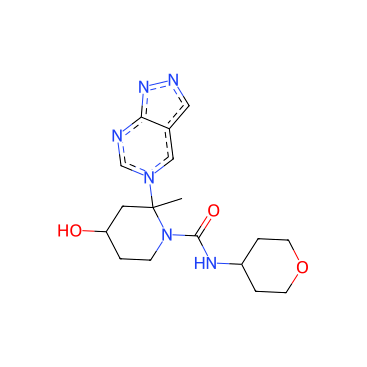 CC1(n2cnc3nncc-3c2)CC(O)CCN1C(=O)NC1CCOCC1